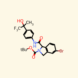 CC(C)(C)OC(=O)N1Cc2cc(Br)ccc2C1C(=O)Nc1ccc(C(C)(O)C(F)(F)F)cc1